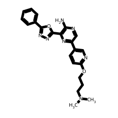 CN(C)CCCOc1ccc(-c2cnc(N)c(-c3nnc(-c4ccccc4)o3)n2)cn1